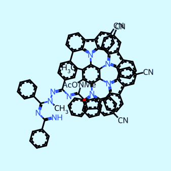 CN/C(=N\C(=N/N(C)/C(=N\C(=N)c1ccccc1)c1ccccc1)c1ccc(-c2cccc3c4cc(C#N)ccc4n(-c4c(C)c(OC(C)=O)c(-n5c6ccccc6c6cc(C#N)ccc65)c(-n5c6ccccc6c6cc(C#N)ccc65)c4-n4c5ccccc5c5cc(C#N)ccc54)c23)cc1)c1ccccc1